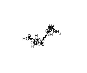 NCc1c(I)nnn1CC(=O)NCCCC[C@@H](NC(=O)N[C@H](CCC(=O)O)C(=O)O)C(=O)O